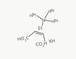 CCC[N+](CC)(CCC)CCC.O=C(O)/C=C\C(=O)O.[KH]